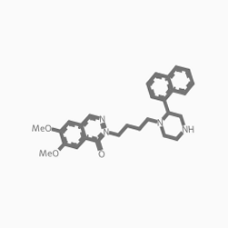 COc1cc2cnn(CCCCN3CCNCC3c3cccc4ccccc34)c(=O)c2cc1OC